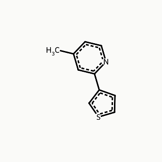 Cc1ccnc(-c2ccsc2)c1